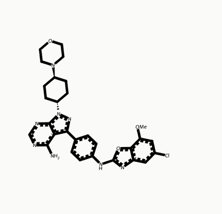 COc1cc(Cl)cc2nc(Nc3ccc(-c4nn([C@H]5CC[C@H](N6CCOCC6)CC5)c5ncnc(N)c45)cc3)oc12